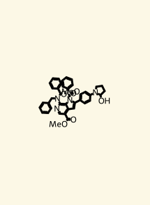 COC(=O)c1cnc(N(Cc2ccccc2)Cc2ccccc2)c2c1cc(-c1ccc(N3CCCC3O)cc1OC)n2S(=O)(=O)c1ccccc1